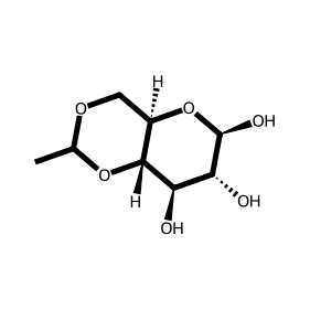 CC1OC[C@H]2O[C@@H](O)[C@H](O)[C@@H](O)[C@@H]2O1